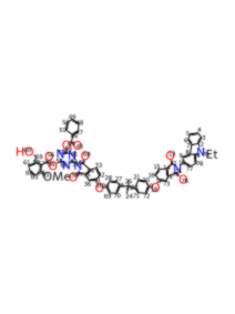 CCn1c2ccccc2c2cc(N3C(=O)c4ccc(Oc5ccc(C(C)(C)c6ccc(Oc7ccc8c(c7)C(=O)N(c7nc(OC(=O)c9ccccc9)nc(OC(=O)c9c(CO)cccc9OC)n7)C8=O)cc6)cc5)cc4C3=O)ccc21